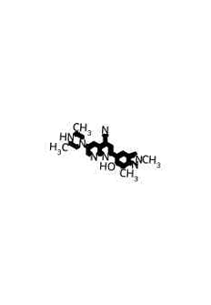 Cc1c(O)c(-c2cc(C#N)c3cc(N4C[C@@H](C)N[C@@H](C)C4)cnc3n2)cc2cn(C)nc12